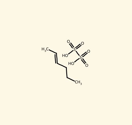 CC=CCCC.O=S(=O)(O)S(=O)(=O)O